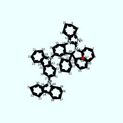 c1ccc(N2c3nc4ccccc4n3-c3ccc(-n4c5ccccc5c5cc(-n6c7ccccc7c7ccccc76)ccc54)cc3C2(c2ccccc2)c2ccccc2)cc1